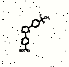 CC(F)(F)c1ccc(-c2ccnc(-c3ccc(C(=O)O)cc3)n2)cc1